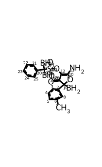 BC1(c2cccc(C)c2)OC(N)=C(OS(=O)(=O)C(B)(B)c2ccccc2)C1=O